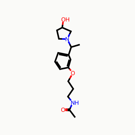 CC(=O)NCCCOc1cccc(C(C)N2CCC(O)C2)c1